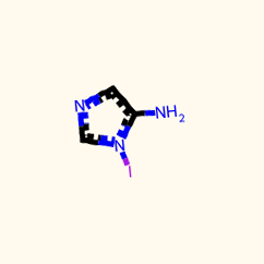 Nc1cncn1I